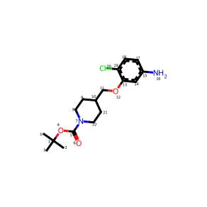 CC(C)(C)OC(=O)N1CCC(COc2cc(N)ccc2Cl)CC1